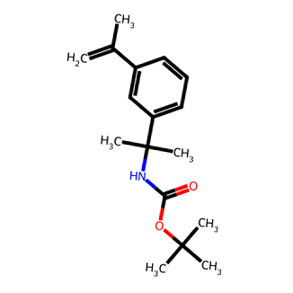 C=C(C)c1cccc(C(C)(C)NC(=O)OC(C)(C)C)c1